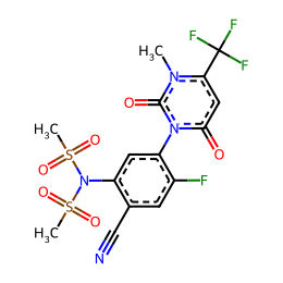 Cn1c(C(F)(F)F)cc(=O)n(-c2cc(N(S(C)(=O)=O)S(C)(=O)=O)c(C#N)cc2F)c1=O